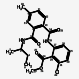 CCC(C)NC(=O)c1nc(C)ccc1C(=O)Nc1cccc(Cl)c1C(=O)OC